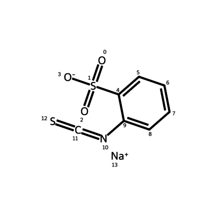 O=S(=O)([O-])c1ccccc1N=C=S.[Na+]